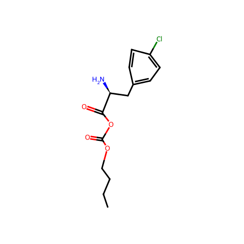 CCCCOC(=O)OC(=O)[C@@H](N)Cc1ccc(Cl)cc1